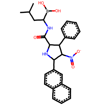 CC(C)CC(NC(=O)C1NC(c2ccc3ccccc3c2)C([N+](=O)[O-])C1c1ccccc1)B(O)O